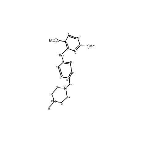 CCOC(=O)c1cnc(SC)nc1Nc1ccc(CN2CCN(C)CC2)cc1